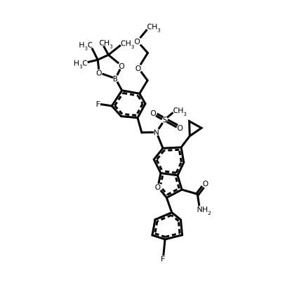 COCOCc1cc(CN(c2cc3oc(-c4ccc(F)cc4)c(C(N)=O)c3cc2C2CC2)S(C)(=O)=O)cc(F)c1B1OC(C)(C)C(C)(C)O1